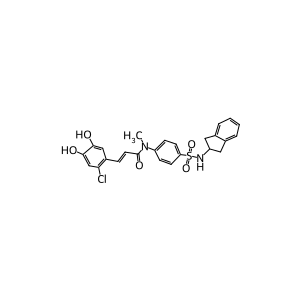 CN(C(=O)C=Cc1cc(O)c(O)cc1Cl)c1ccc(S(=O)(=O)NC2Cc3ccccc3C2)cc1